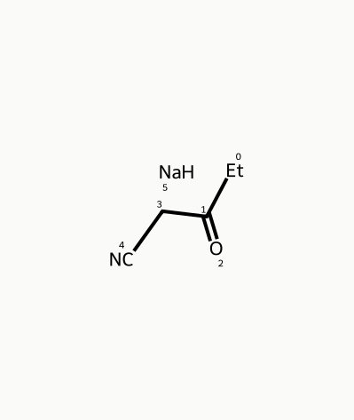 CCC(=O)CC#N.[NaH]